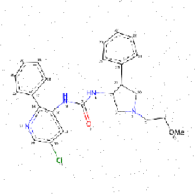 COCCN1CC(NC(=O)Nc2cc(Cl)cnc2-c2ccccc2)C(c2ccccc2)C1